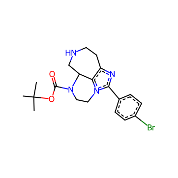 CC(C)(C)OC(=O)N1CCn2c(-c3ccc(Br)cc3)nc3c2C1CNCC3